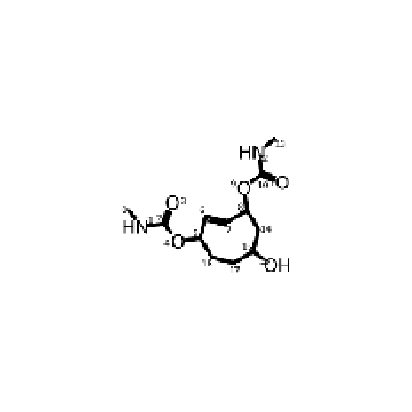 CNC(=O)OC1/C=C/C(OC(=O)NC)CC(O)CC1